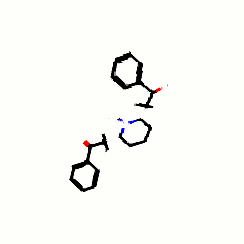 [2H]C([2H])(C(=O)c1ccccc1)[C@H]1CCC[C@@H](C([2H])([2H])C(O)c2ccccc2)N1C